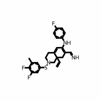 C=CC12CC(C=N)=C(Nc3ccc(F)cc3)C=C1CCN(Sc1cc(C)c(F)c(F)c1)C2